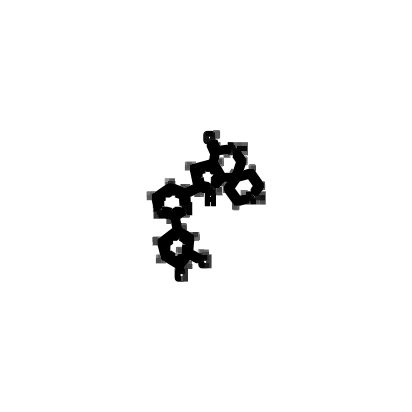 O=C1NCC2(CCNCC2)c2[nH]c(-c3ccnc(-c4ccc(Cl)c(Cl)c4)n3)cc21